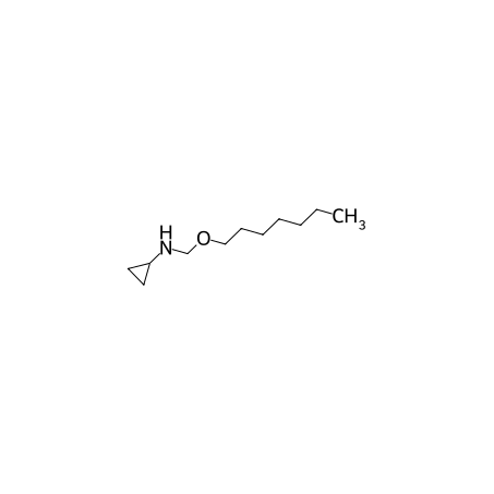 CCCCCCCOCNC1CC1